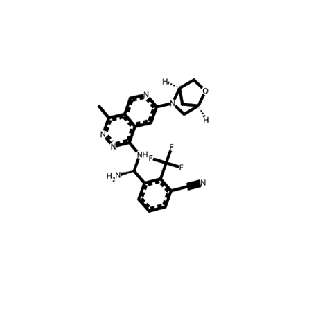 Cc1nnc(N[C@H](N)c2cccc(C#N)c2C(F)(F)F)c2cc(N3C[C@H]4C[C@@H]3CO4)ncc12